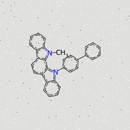 Cn1c2ccccc2c2ccc3c4ccccc4n(-c4ccc(-c5ccccc5)cc4)c3c21